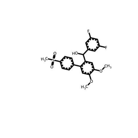 COc1cc(-c2ccc(S(C)(=O)=O)cc2)c(C(O)c2cc(F)cc(F)c2)cc1OC